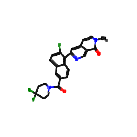 Cn1ccc2cc(-c3c(F)ccc4cc(C(=O)N5CCC(F)(F)CC5)ccc34)ncc2c1=O